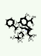 Cc1cc(C)c(C(=O)O)c(C2CC2C[C@@H]2OC(C)(C)O[C@@H]2C(/C=C\C[C@H](C)O)OC(=O)c2ccccc2)c1